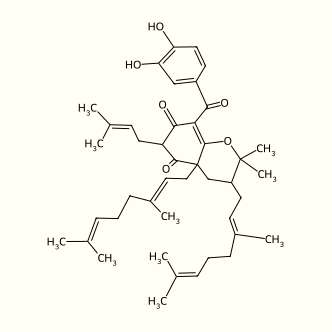 CC(C)=CCC/C(C)=C/CC1CC2(C/C=C(\C)CCC=C(C)C)C(=O)C(CC=C(C)C)C(=O)C(C(=O)c3ccc(O)c(O)c3)=C2OC1(C)C